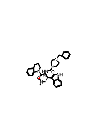 CN(C)C[C@@H](c1c[nH]c2ccccc12)[C@@H](NC(=O)N1CCN(Cc2ccccc2)CC1)C(=O)N1CCCc2ccccc21